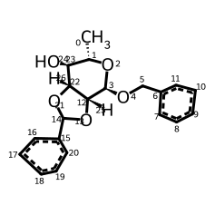 C[C@@H]1O[C@@H](OCc2ccccc2)[C@@H]2OC(c3ccccc3)O[C@@H]2[C@H]1O